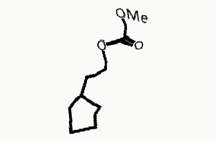 [CH2]OC(=O)OCCC1CCCC1